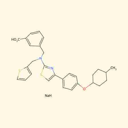 CC1CCC(Oc2ccc(-c3csc(N(Cc4cccc(C(=O)O)c4)Cc4cccs4)n3)cc2)CC1.[NaH]